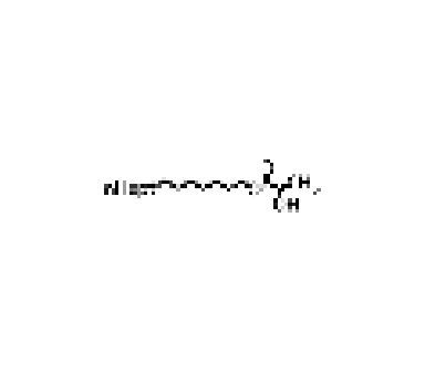 C=C(O)C(=O)OCCCCCCCCCCCCCC